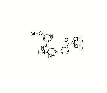 COc1cncc(-c2n[nH]c3ncc(-c4cccc(C(=O)N(C)C)c4)cc23)c1